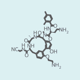 Cc1ccc(C(=O)N[C@@H](CCN)C(=O)N(C)[C@@H]2C(=O)N[C@@H](C)C(=O)N[C@H](C(=O)NCC#N)Cc3ccc(OCCN)c(c3)-c3cc2ccc3O)c(C)c1